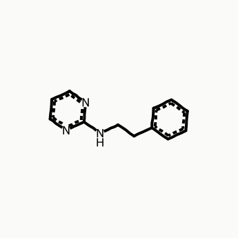 c1ccc(CCNc2ncccn2)cc1